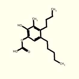 CCCCCc1cc(OC(=O)O)c(O)c(C)c1CCCC